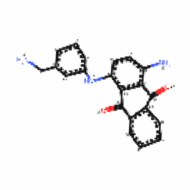 NCc1cccc(Nc2ccc(N)c3c2C(=O)c2ccccc2C3=O)c1